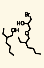 CCCCC(CC)CO.CCCCC(CC)COCC(O)CBr